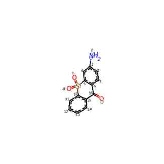 Nc1ccc2c(c1)S(=O)(=O)c1ccccc1C2=O